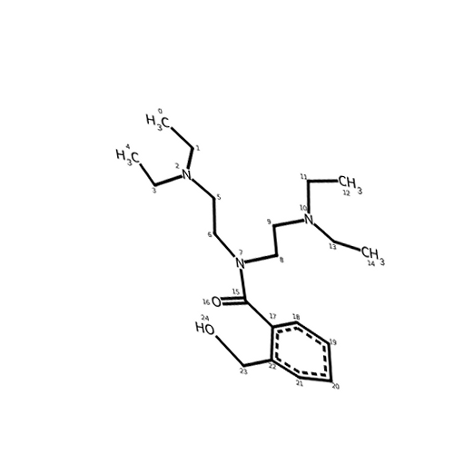 CCN(CC)CCN(CCN(CC)CC)C(=O)c1ccccc1CO